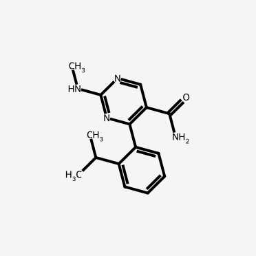 CNc1ncc(C(N)=O)c(-c2ccccc2C(C)C)n1